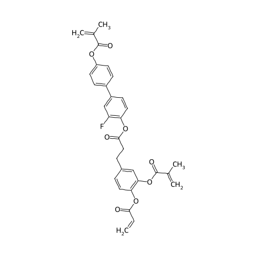 C=CC(=O)Oc1ccc(CCC(=O)Oc2ccc(-c3ccc(OC(=O)C(=C)C)cc3)cc2F)cc1OC(=O)C(=C)C